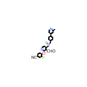 Cc1cc(-c2ccc(CN(F)Cc3ccnc(Oc4ccc(C#N)cc4F)c3C=O)cc2)ccn1